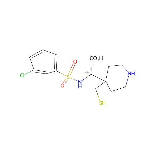 O=C(O)[C@@H](NS(=O)(=O)c1cccc(Cl)c1)C1(CS)CCNCC1